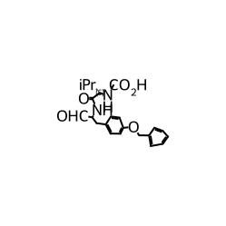 CC(C)[C@H](NC(=O)O)C(=O)NC(C=O)Cc1ccc(OCc2ccccc2)cc1